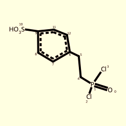 O=P(Cl)(Cl)CCc1ccc(S(=O)(=O)O)cc1